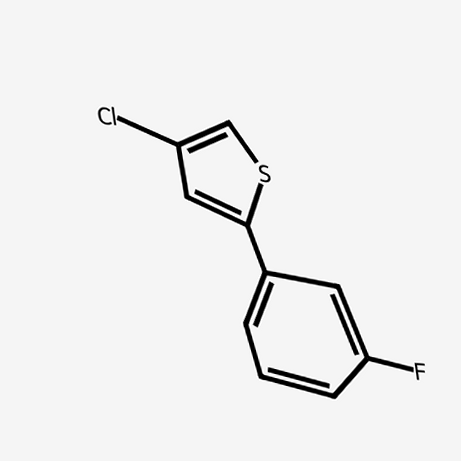 Fc1cccc(-c2cc(Cl)cs2)c1